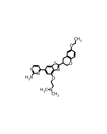 CCOc1ccc2c(c1)CC(c1nc3c(OCCN(C)C)cc(-c4ccnc(N)n4)cc3s1)CO2